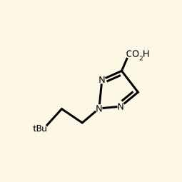 CC(C)(C)CCn1ncc(C(=O)O)n1